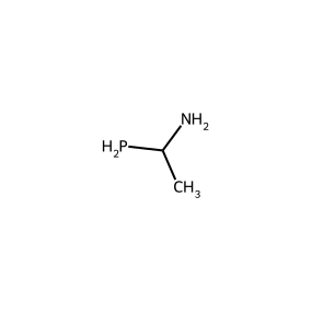 CC(N)P